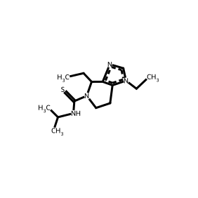 CCC1c2ncn(CC)c2CCN1C(=S)NC(C)C